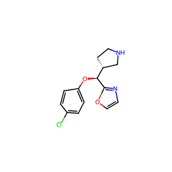 Clc1ccc(O[C@H](c2ncco2)[C@@H]2CCNC2)cc1